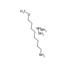 COCCCCCCCCN.NN.O